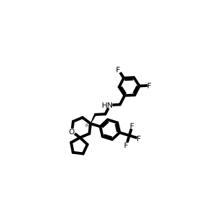 Fc1cc(F)cc(CNCC[C@]2(c3ccc(C(F)(F)F)cc3)CCOC3(CCCC3)C2)c1